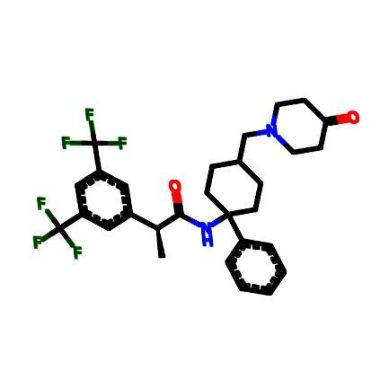 C[C@H](C(=O)NC1(c2ccccc2)CCC(CN2CCC(=O)CC2)CC1)c1cc(C(F)(F)F)cc(C(F)(F)F)c1